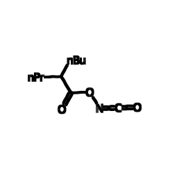 CCCCC(CCC)C(=O)ON=C=O